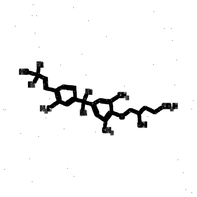 CCC(O)(C=Cc1ccc(C(CC)(CC)c2cc(C)c(OCC(O)CCC(=O)O)c(C)c2)cc1C)CC